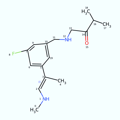 CN/C=C(\C)c1cc(F)cc(CNCC(=O)C(C)C)c1